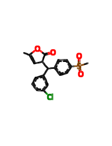 CC1=CC(C(c2ccc(S(C)(=O)=O)cc2)c2cccc(Cl)c2)C(=O)O1